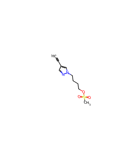 C#Cc1cnn(CCCCOS(C)(=O)=O)c1